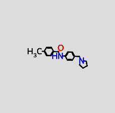 Cc1ccc(C(=O)Nc2ccc(CN3CCCC3)cc2)cc1